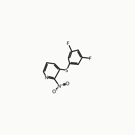 O=[N+]([O-])c1ncccc1Sc1cc(F)cc(F)c1